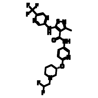 Cc1nsc(Nc2cnc(C(F)(F)F)cn2)c1C(=O)Nc1ccc(O[C@H]2CCCN(CC(F)F)C2)nc1